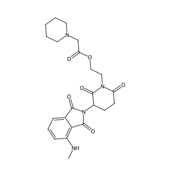 CNc1cccc2c1C(=O)N(C1CCC(=O)N(CCOC(=O)CN3CCCCC3)C1=O)C2=O